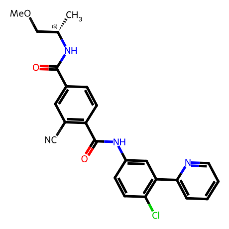 COC[C@H](C)NC(=O)c1ccc(C(=O)Nc2ccc(Cl)c(-c3ccccn3)c2)c(C#N)c1